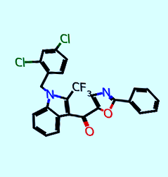 O=C(c1cnc(-c2ccccc2)o1)c1c(C(F)(F)F)n(Cc2ccc(Cl)cc2Cl)c2ccccc12